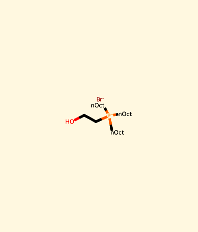 CCCCCCCC[P+](CCO)(CCCCCCCC)CCCCCCCC.[Br-]